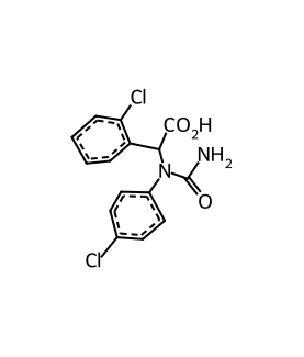 NC(=O)N(c1ccc(Cl)cc1)C(C(=O)O)c1ccccc1Cl